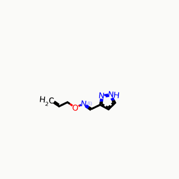 C=CCO/N=C/c1cc[nH]n1